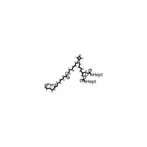 CCCCC/C=C\C/C=C\CCCCCCCC(=O)OCCCCCCN(CCCCC(COC(=O)CCCCCCC)COC(=O)CCCCCCC)C1CCC1